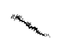 CCCCCCCCCCCCCCCCCCCCCCCC[N+](C)(C)C.[Br-]